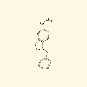 FC(F)(F)[Se]c1ccc2c(c1)CCN2Cc1ccccc1